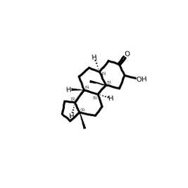 C[C@@]12CCC[C@H]1[C@@H]1CC[C@H]3CC(=O)C(O)C[C@]3(C)[C@H]1CC2